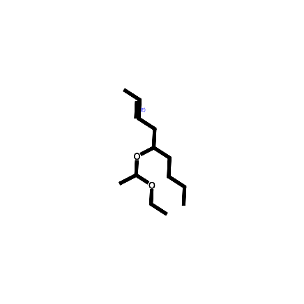 C/C=C/CC(CCCC)OC(C)OCC